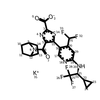 O=C([O-])c1nc(C(=O)N2C3CCC2CC3)c(-c2cnc(N[C@@H](C3CC3)C(F)(F)F)cc2C(F)F)s1.[K+]